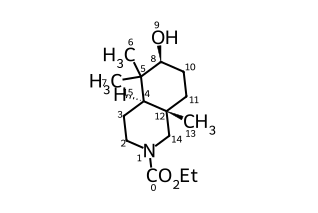 CCOC(=O)N1CC[C@H]2C(C)(C)[C@@H](O)CC[C@]2(C)C1